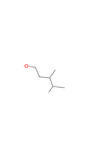 CC(C)C(C)CC[O]